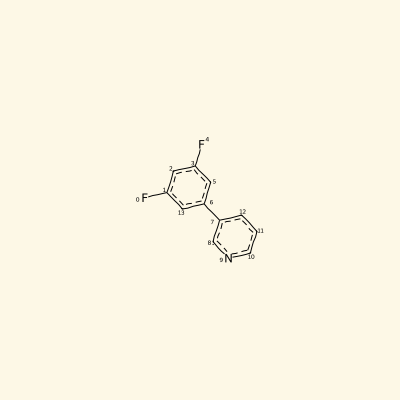 Fc1cc(F)cc(-c2[c]nccc2)c1